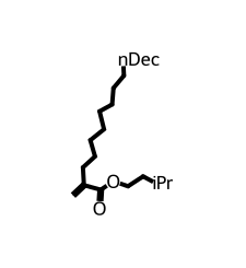 C=C(CCCCCCCCCCCCCCCCCC)C(=O)OCCC(C)C